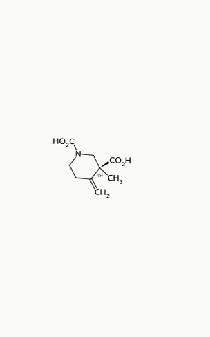 C=C1CCN(C(=O)O)C[C@@]1(C)C(=O)O